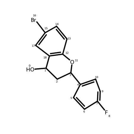 OC1CC(c2ccc(F)cc2)Oc2ccc(Br)cc21